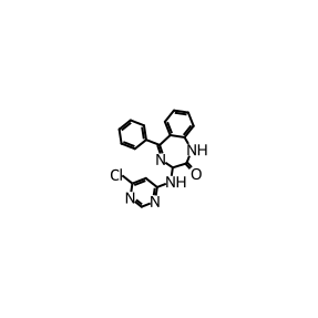 O=C1Nc2ccccc2C(c2ccccc2)=NC1Nc1cc(Cl)ncn1